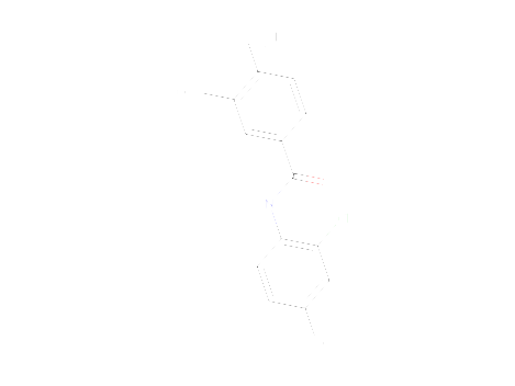 O=C(O)c1ccc(NC(=O)c2ccc(C(=O)O)c(C(=O)O)c2)c(Cl)c1